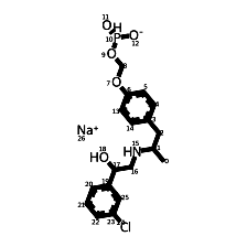 CC(Cc1ccc(OCO[PH](=O)[O-])cc1)NCC(O)c1cccc(Cl)c1.[Na+]